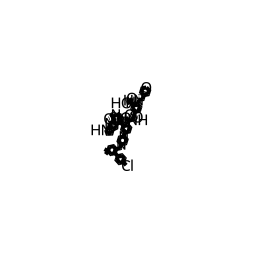 CC1(C)CCC(CN2CCN(c3ccc(C(=O)NS(=O)(=O)c4ccc(NCC5CCOCC5)c([N+](=O)[O-])c4)c(N4CCN[SH](C)(=O)c5nc6[nH]ccc6cc54)c3)CC2)=C(c2ccc(Cl)cc2)C1